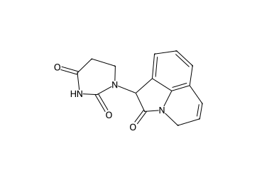 O=C1CCN(C2C(=O)N3CC=Cc4cccc2c43)C(=O)N1